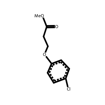 COC(=O)CCOc1ccc(Cl)cc1